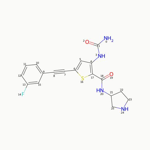 NC(=O)Nc1cc(C#Cc2cccc(F)c2)sc1C(=O)NC1CCNC1